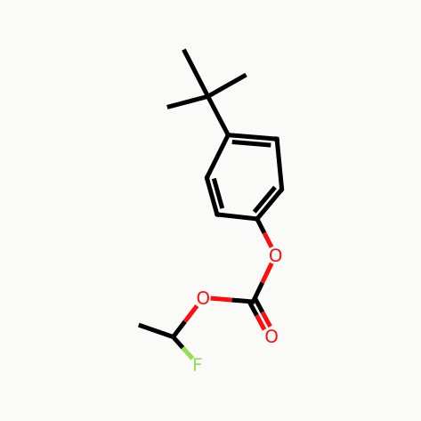 CC(F)OC(=O)Oc1ccc(C(C)(C)C)cc1